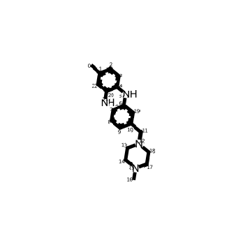 Cc1ccc(Nc2cccc(CN3CCN(C)CC3)c2)c(N)c1